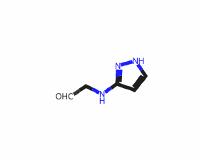 O=CCNc1cc[nH]n1